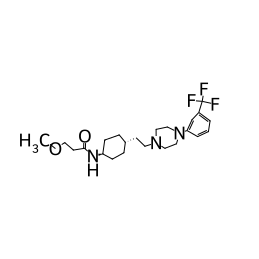 COCCC(=O)N[C@H]1CC[C@H](CCN2CCN(c3cccc(C(F)(F)F)c3)CC2)CC1